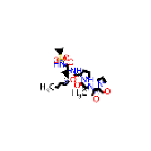 CCC/C=C\[C@@H]1C[C@]1(NC(=O)[C@@H]1CCCN1C(=O)[C@H](C)N/C(C=O)=C(/C=O)N1CCC1)C(=O)NS(=O)(=O)C1CC1